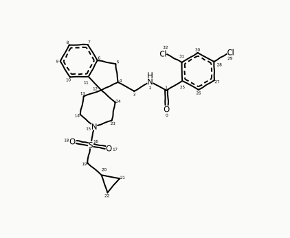 O=C(NCC1Cc2ccccc2C12CCN(S(=O)(=O)CC1CC1)CC2)c1ccc(Cl)cc1Cl